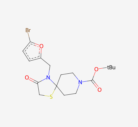 CC(C)(C)OC(=O)N1CCC2(CC1)SCC(=O)N2Cc1ccc(Br)o1